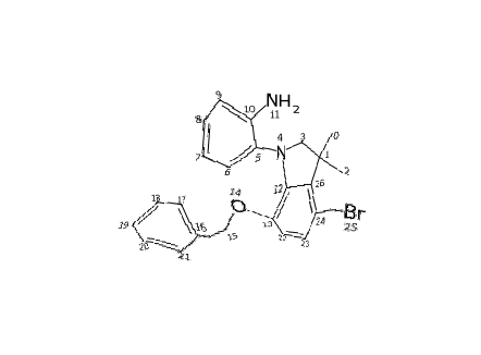 CC1(C)CN(c2ccccc2N)c2c(OCc3ccccc3)ccc(Br)c21